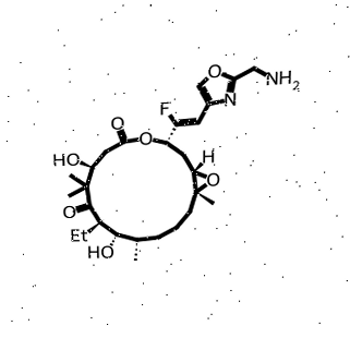 CC[C@H]1C(=O)C(C)(C)[C@@H](O)CC(=O)O[C@H](C(F)=Cc2coc(CN)n2)C[C@@H]2O[C@]2(C)CCC[C@H](C)[C@@H]1O